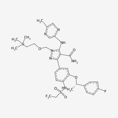 Cc1cnc(Nc2c(C(N)=O)c(-c3ccc(NS(=O)(=O)CC(F)(F)F)c(O[C@@H](C)c4ccc(F)cc4)c3)nn2COCC[Si](C)(C)C)cn1